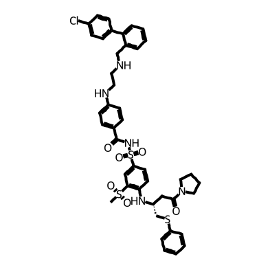 CS(=O)(=O)c1cc(S(=O)(=O)NC(=O)c2ccc(NCCNCc3ccccc3-c3ccc(Cl)cc3)cc2)ccc1N[C@@H](CSc1ccccc1)CC(=O)N1CCCC1